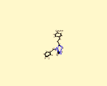 COc1ccc(CCc2nn[c]n2Cc2ccccc2)cc1